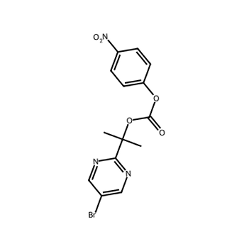 CC(C)(OC(=O)Oc1ccc([N+](=O)[O-])cc1)c1ncc(Br)cn1